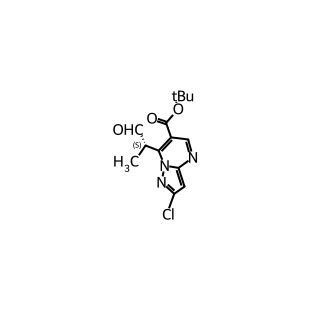 C[C@H](C=O)c1c(C(=O)OC(C)(C)C)cnc2cc(Cl)nn12